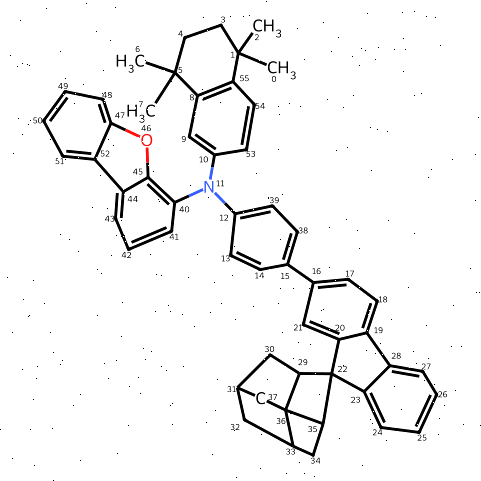 CC1(C)CCC(C)(C)c2cc(N(c3ccc(-c4ccc5c(c4)C4(c6ccccc6-5)C5CC6CC7CC4C75C6)cc3)c3cccc4c3oc3ccccc34)ccc21